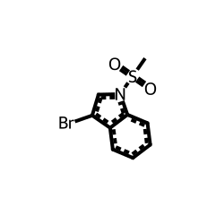 CS(=O)(=O)n1cc(Br)c2ccccc21